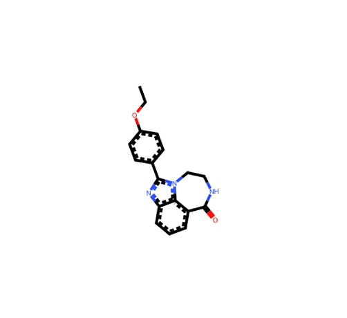 CCOc1ccc(-c2nc3cccc4c3n2CCNC4=O)cc1